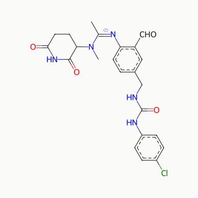 C/C(=N/c1ccc(CNC(=O)Nc2ccc(Cl)cc2)cc1C=O)N(C)C1CCC(=O)NC1=O